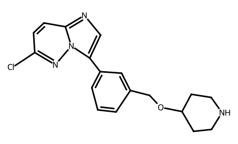 Clc1ccc2ncc(-c3cccc(COC4CCNCC4)c3)n2n1